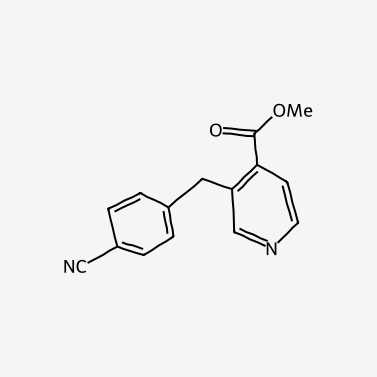 COC(=O)c1ccncc1Cc1ccc(C#N)cc1